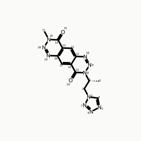 C[C@H](Cn1cnnn1)n1nnc2cc3c(=O)n(C)nnc3cc2c1=O